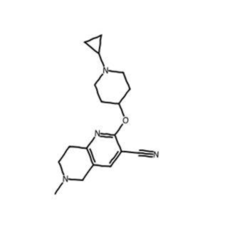 CN1CCc2nc(OC3CCN(C4CC4)CC3)c(C#N)cc2C1